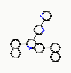 c1ccc(-c2ccc(-c3cc(-c4cccc5ccccc45)nc4ccc(-c5cccc6ccccc56)cc34)cn2)nc1